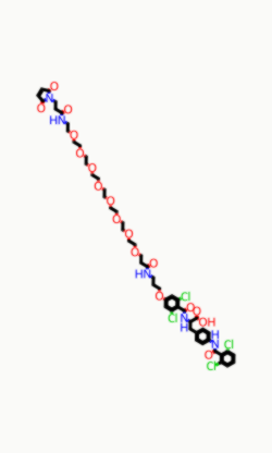 O=C(CCOCCOCCOCCOCCOCCOCCOCCOCCNC(=O)CCN1C(=O)C=CC1=O)NCCCOc1cc(Cl)c(C(=O)NC(Cc2ccc(NC(=O)c3c(Cl)cccc3Cl)cc2)C(=O)O)c(Cl)c1